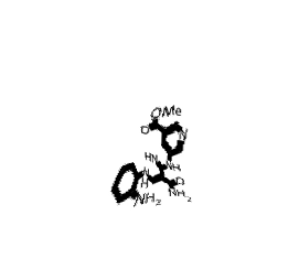 COC(=O)c1cncc(NC(=N)/C(=C\NC2CCCCC2N)C(N)=O)c1